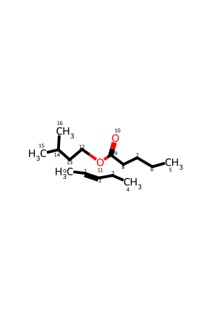 CC=CCC.CCCCC(=O)OCCC(C)C